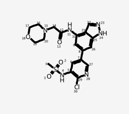 CS(=O)(=O)Nc1cc(-c2cc(NC(=O)CN3CCOCC3)c3cn[nH]c3c2)cnc1Cl